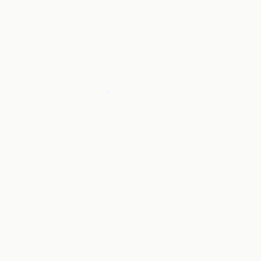 C=Cc1ccc(C)c(S/C(S)=C/C)c1